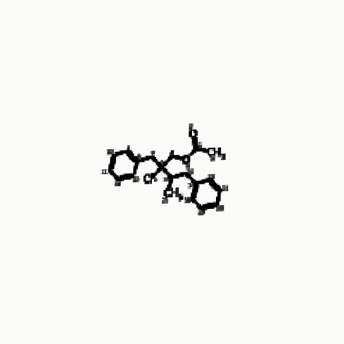 CC(=O)OCC(Cl)(Cc1ccccc1)C(C)Cc1ccccc1